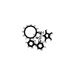 CC1=C(C)C(C)[C]([Zr]([NH]C2CCCCCCCCCCC2)[SiH](C)C)=C1C.c1ccc(-c2ccccc2)cc1